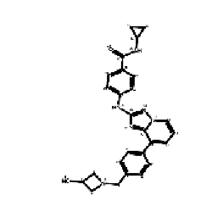 N#CC1CN(Cc2ccc(-c3cccn4nc(Nc5ccc(C(=O)NC6CC6)cc5)nc34)cc2)C1